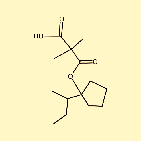 CCC(C)C1(OC(=O)C(C)(C)C(=O)O)CCCC1